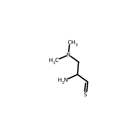 CN(C)CC(N)C=S